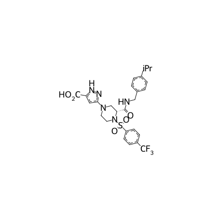 CC(C)c1ccc(CNC(=O)[C@H]2CN(c3cc(C(=O)O)[nH]n3)CCN2S(=O)(=O)c2ccc(C(F)(F)F)cc2)cc1